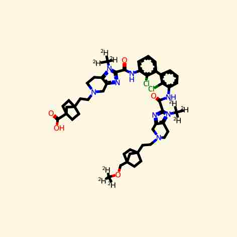 [2H]C([2H])([2H])OCC12CCC(CCN3CCc4c(nc(C(=O)Nc5cccc(-c6cccc(NC(=O)c7nc8c(n7C([2H])([2H])[2H])CCN(CCC79CCC(C(=O)O)(CC7)C9)C8)c6Cl)c5Cl)n4C([2H])([2H])[2H])C3)(CC1)C2